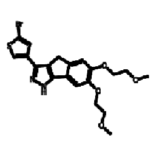 COCCOc1cc2c(cc1OCCOC)-c1[nH]nc(-c3csc(Br)c3)c1C2